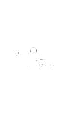 COc1ccccc1Oc1c(Cl)nc(SC)nc1Cl